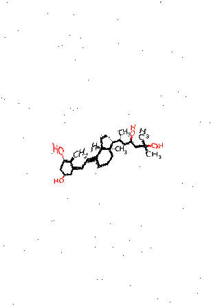 C=C1C(=CC=C2CCC[C@]3(C)[C@@H]([C@H](C)CC(O)CC(C)(C)O)CC[C@@H]23)C[C@@H](O)C[C@@H]1O